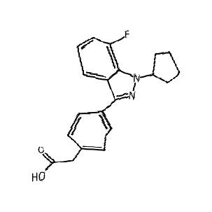 O=C(O)Cc1ccc(-c2nn(C3CCCC3)c3c(F)cccc23)cc1